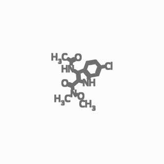 CON(C)C(=O)c1[nH]c2cc(Cl)ccc2c1NC(C)=O